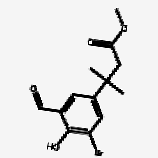 COC(=O)CC(C)(C)c1cc(Br)c(O)c(C=O)c1